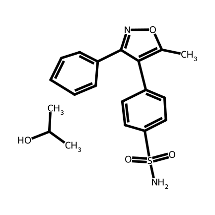 CC(C)O.Cc1onc(-c2ccccc2)c1-c1ccc(S(N)(=O)=O)cc1